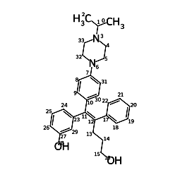 CC(C)N1CCN(c2ccc(/C(=C(/CCCO)c3ccccc3)c3cccc(O)c3)cc2)CC1